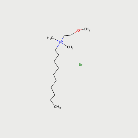 CCCCCCCCCC[N+](C)(C)CCOC.[Br-]